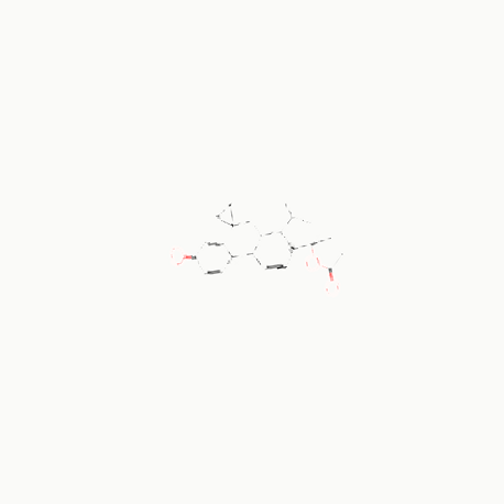 CC1C[C@@]2(CCC(=O)O2)[C@@]2(C)C=CC3C(CC4(CC4)C4=CC(=O)C=C[C@@]43C)C12